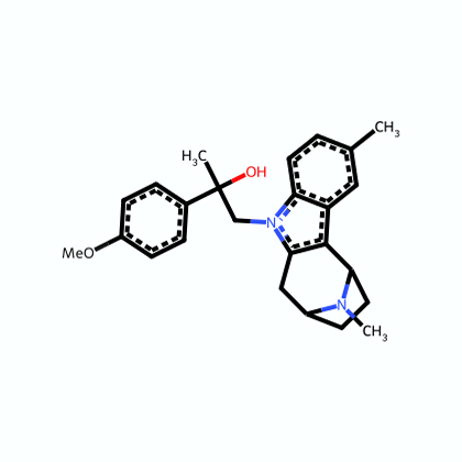 COc1ccc(C(C)(O)Cn2c3c(c4cc(C)ccc42)C2CCC(C3)N2C)cc1